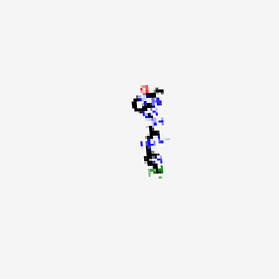 CCC1C(=O)N2CCCc3nc(NC/C(C=N)=C/NCc4ccc(C(F)(F)F)nc4)nc(c32)N1C